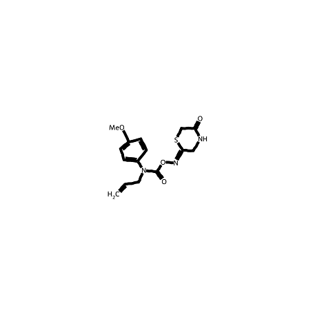 C=CCN(C(=O)ON=C1CNC(=O)CS1)c1ccc(OC)cc1